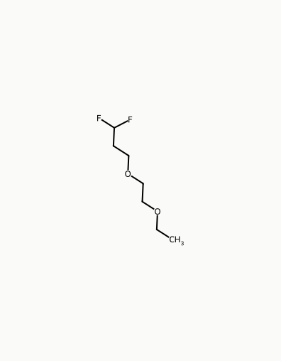 CCOCCOCCC(F)F